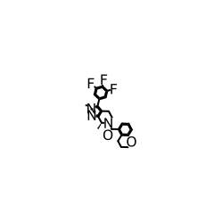 C[C@H]1c2nn(C)c(-c3cc(F)c(F)c(F)c3)c2CCN1C(=O)c1cccc2c1CCCO2